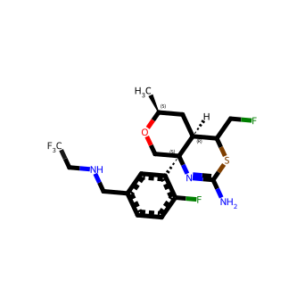 C[C@H]1C[C@H]2C(CF)SC(N)=N[C@@]2(c2cc(CNCC(F)(F)F)ccc2F)CO1